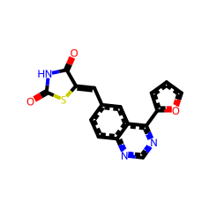 O=C1NC(=O)/C(=C/c2ccc3ncnc(-c4ccco4)c3c2)S1